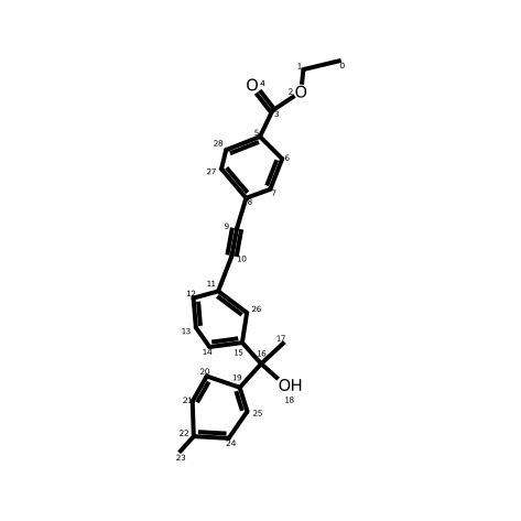 CCOC(=O)c1ccc(C#Cc2cccc(C(C)(O)c3ccc(C)cc3)c2)cc1